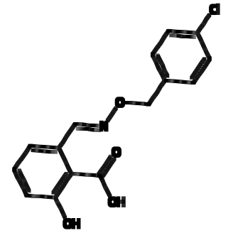 O=C(O)c1c(O)cccc1/C=N/OCc1ccc(Cl)cc1